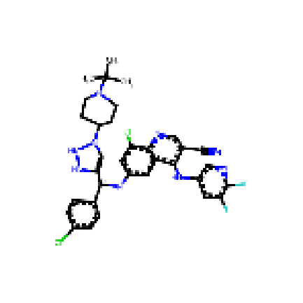 CC(C)(C)N1CCC(N2C=C([C@@H](Nc3cc(Cl)c4ncc(C#N)c(Nc5cnc(F)c(F)c5)c4c3)c3ccc(Cl)cc3)NN2)CC1